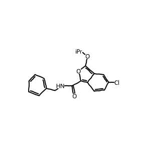 CC(C)Oc1oc(C(=O)NCc2ccccc2)c2ccc(Cl)cc12